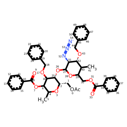 CC(=O)OC[C@@H]1OC(C)C(OC(=O)c2ccccc2)C(OCc2ccccc2)[C@@H]1OC1OC(COC(=O)c2ccccc2)C(C)[C@@H](OCc2ccccc2)[C@@H]1N=[N+]=[N-]